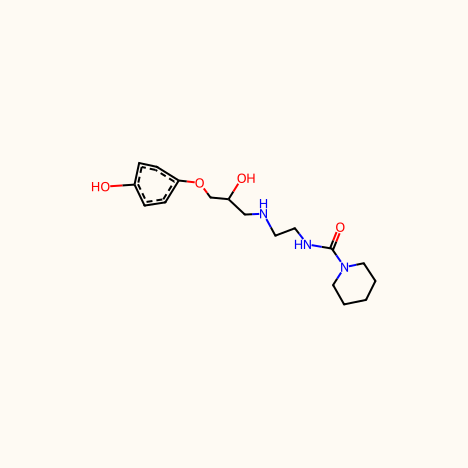 O=C(NCCNCC(O)COc1ccc(O)cc1)N1CCCCC1